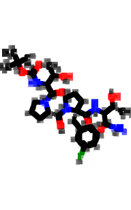 C[C@@H](O)[C@H](NC(=O)[C@]1(Cc2cccc(F)c2)CCCN1C(=O)[C@@H]1CCCN1C(=O)[C@@H](NC(=O)OC(C)(C)C)[C@@H](C)O)C(N)=O